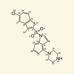 Cc1c(S(=O)(=O)n2ccc3c(N4CCNCC4)cccc32)sc2ccc(Cl)cc12